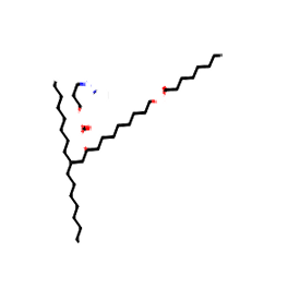 CCCCCCCCC(CCCCCCCC)CC(CCCCCCCCOC(=O)CCCCCCC)OC(=O)OCCCN(C)C